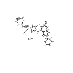 Cc1cc(C(=O)NCC2CCNCC2)nn1Cc1cc(Cl)cc2cc(-c3ccccc3)oc12.Cl